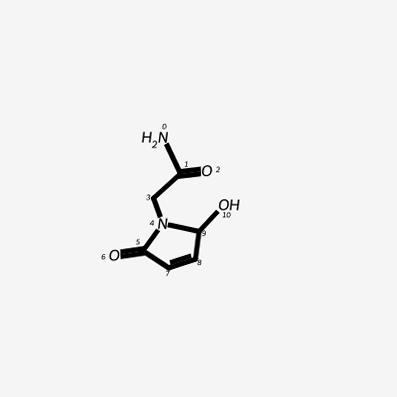 NC(=O)CN1C(=O)C=CC1O